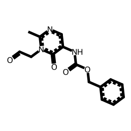 Cc1ncc(NC(=O)OCc2ccccc2)c(=O)n1CC=O